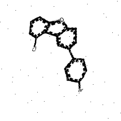 Clc1cccc2oc3ccc(-c4ccc(Br)cc4)cc3c12